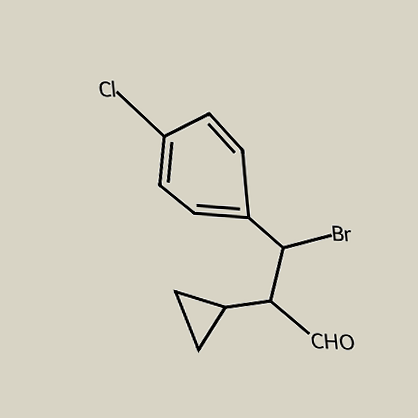 O=CC(C1CC1)C(Br)c1ccc(Cl)cc1